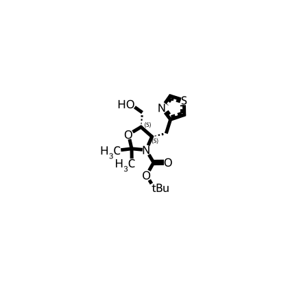 CC(C)(C)OC(=O)N1[C@@H](Cc2cscn2)[C@@H](CO)OC1(C)C